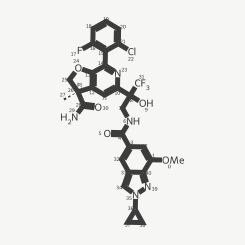 COc1cc(C(=O)NCC(O)(c2cc3c(c(-c4c(F)cccc4Cl)n2)OC[C@]3(C)C(N)=O)C(F)(F)F)cc2cn(C3CC3)nc12